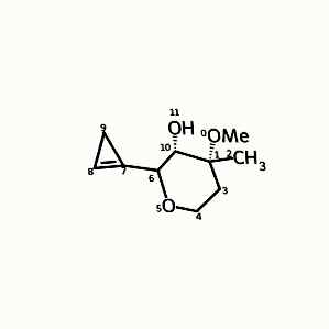 CO[C@]1(C)CCOC(C2=CC2)[C@@H]1O